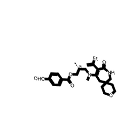 C=C(CC)C1=C(N(C)C[C@@H](C)COC(=O)c2ccc(C=O)cc2)CC2(CCOCC2)CNC1=O